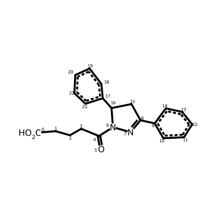 O=C(O)CCCC(=O)N1N=C(c2ccccc2)CC1c1ccccc1